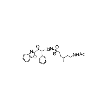 CC(=O)NCCC(C)CCS(=O)(=O)NCCC(C(=O)c1nc2ccccc2o1)c1ccccc1